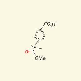 COC(=O)C(C)(C)c1ccc(C(=O)O)cc1